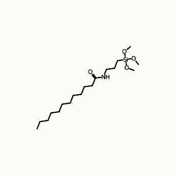 CCCCCC[CH]CCCCC(=O)NCCC[Si](OC)(OC)OC